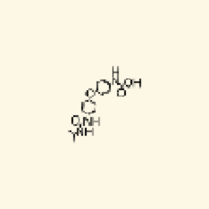 CC(C)NC(=O)Nc1ccc(Oc2ccc(NC(=O)O)cc2)cc1